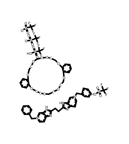 O=S(=O)(O)C(F)(F)F.O=S(=O)(O)C(F)(F)F.O=S(=O)([O-])C(F)(F)F.O=S(=O)([O-])C(F)(F)F.c1ccc(C[n+]2ccc3nc(CCc4nc5cc[n+](Cc6ccccc6)cc5[nH]4)[nH]c3c2)cc1.c1ccc2c(c1)OCCOCCOCCOc1ccccc1OCCOCCOCCO2